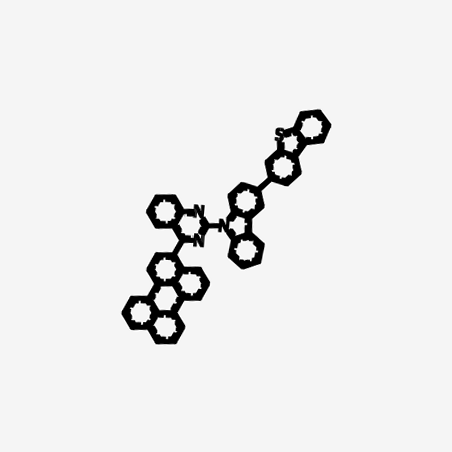 c1ccc2c(-c3ccc4c5cccc6cccc(c7cccc3c74)c65)nc(-n3c4ccccc4c4cc(-c5ccc6c(c5)sc5ccccc56)ccc43)nc2c1